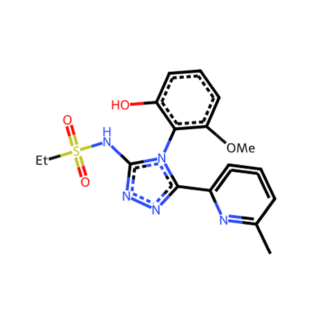 CCS(=O)(=O)Nc1nnc(C2=C=C=CC(C)=N2)n1-c1c(O)cccc1OC